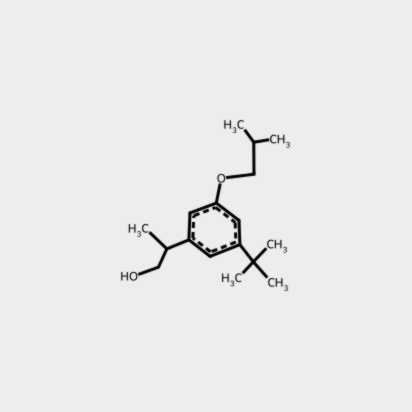 C[C](CO)c1cc(OCC(C)C)cc(C(C)(C)C)c1